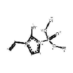 C=Cn1cc[n+](P(=O)(OCC)OCC)c1CCC